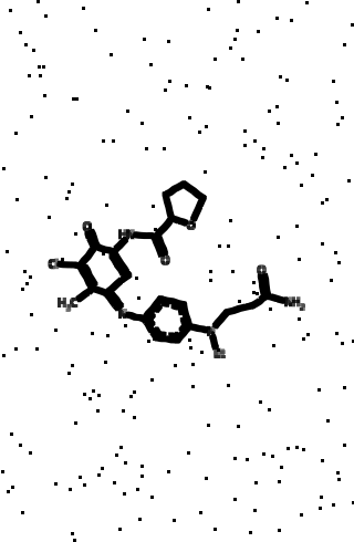 CCN(CCC(N)=O)c1ccc(N=C2C=C(NC(=O)C3CCCO3)C(=O)C(Cl)=C2C)cc1